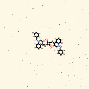 O=C1C(=Cc2cc[n+](Cc3ccccc3)c3ccccc23)C([O-])C1C=C1C=CN(Cc2ccccc2)c2ccccc21